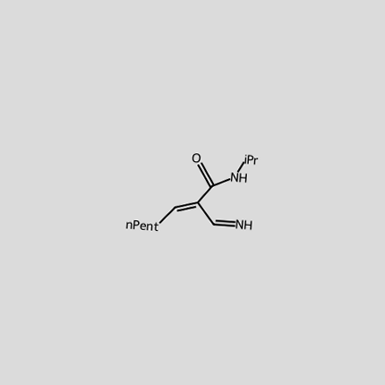 CCCCC/C=C(\C=N)C(=O)NC(C)C